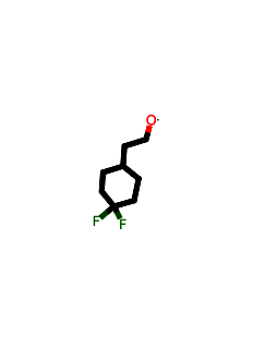 [O]CCC1CCC(F)(F)CC1